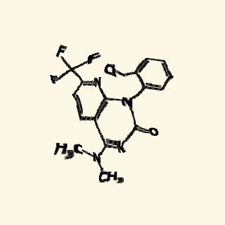 CN(C)c1nc(=O)n(-c2ccccc2Cl)c2nc(C(F)(F)F)ccc12